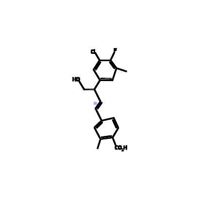 Cc1cc(/C=C/C(CO)c2cc(C)c(F)c(Cl)c2)ccc1C(=O)O